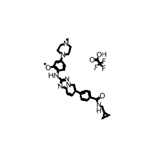 COc1cc(N2CCN(C)CC2)ccc1Nc1nc2ccc(-c3ccc(C(=O)NCC4CC4)cc3)cn2n1.O=C(O)C(F)(F)F